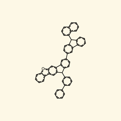 c1ccc(-c2cccc(C3c4ccc(-c5ccc6c(c5)-c5ccccc5C6c5cccc6ccccc56)cc4-c4cc5oc6ccccc6c5cc43)c2)cc1